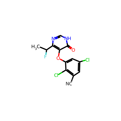 CC(F)c1nc[nH]c(=O)c1Oc1cc(Cl)cc(C#N)c1Cl